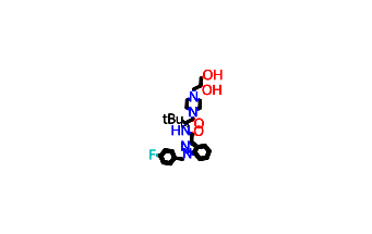 CC(C)(C)[C@H](NC(=O)c1nn(Cc2ccc(F)cc2)c2ccccc12)C(=O)N1CCN(CC(O)CO)CC1